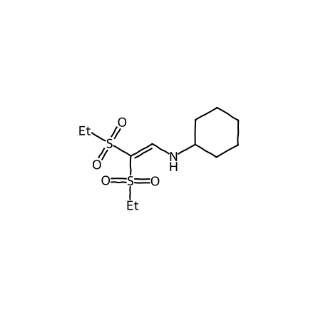 CCS(=O)(=O)C(=CNC1CCCCC1)S(=O)(=O)CC